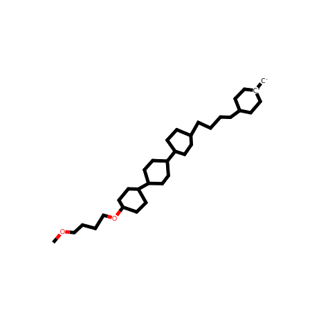 [CH2-][C+]1CCC(CCCCC2CCC(C3CCC(C4CCC(OCCCCOC)CC4)CC3)CC2)CC1